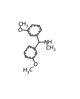 CNC(c1cccc(OC)c1)c1cccc(OC)c1